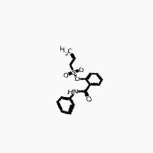 C=CCS(=O)(=O)Oc1ccccc1C(=O)Nc1ccccc1